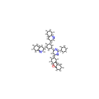 c1ccc(-c2nc(-c3cc(-c4cnc5ccccc5c4)cc(-c4cnc5ccccc5c4)c3)cc(-c3ccc4oc5ccccc5c4c3)n2)cc1